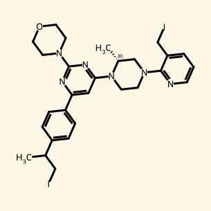 CC(CI)c1ccc(-c2cc(N3CCN(c4ncccc4CI)C[C@H]3C)nc(N3CCOCC3)n2)cc1